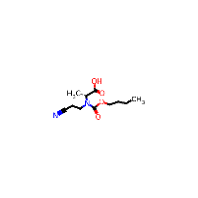 CCCCOC(=O)N(CCC#N)[C@H](C)C(=O)O